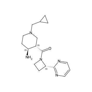 N[C@H]1CCN(CC2CC2)C[C@@H]1C(=O)N1CC[C@H]1c1ncccn1